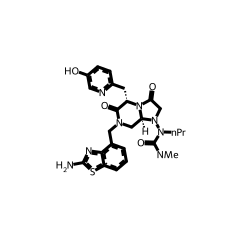 CCCN(C(=O)NC)N1CC(=O)N2[C@@H](Cc3ccc(O)cn3)C(=O)N(Cc3cccc4sc(N)nc34)C[C@@H]21